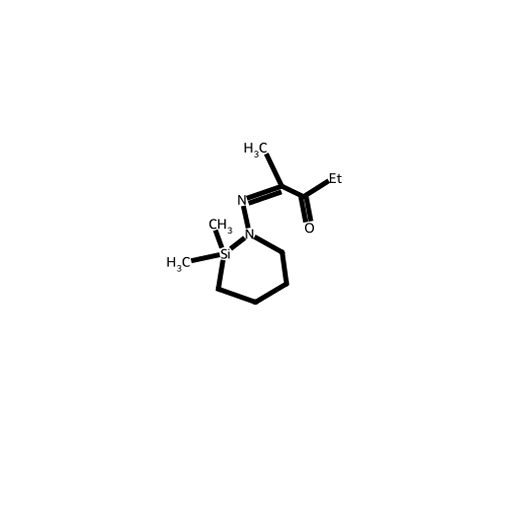 CCC(=O)C(C)=NN1CCCC[Si]1(C)C